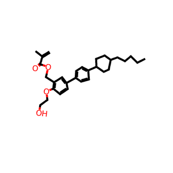 C=C(C)C(=O)OCc1cc(-c2ccc(C3CCC(CCCCC)CC3)cc2)ccc1OCCO